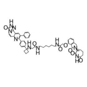 O=C(CNC1(c2ccc(-c3nc4ccn5c(=O)[nH]nc5c4cc3-c3ccccc3)cc2)CCC1)NCCCCCCNC(=O)COc1cccc2c1C(=O)N([C@H]1CCCC(=O)NC1=O)C2